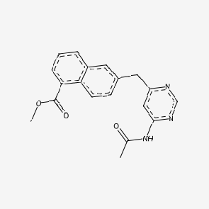 COC(=O)c1cccc2cc(Cc3cc(NC(C)=O)ncn3)ccc12